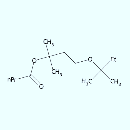 CCCC(=O)OC(C)(C)CCOC(C)(C)CC